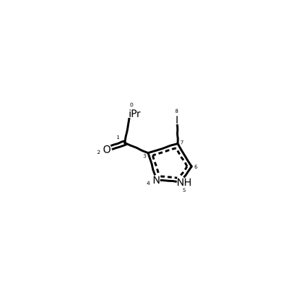 CC(C)C(=O)c1n[nH]cc1I